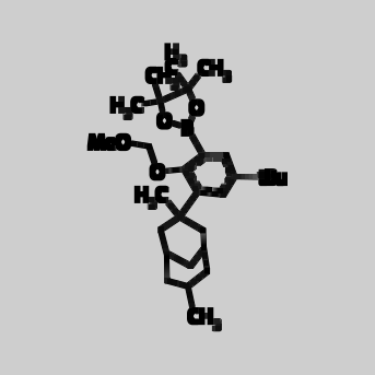 COCOc1c(B2OC(C)(C)C(C)(C)O2)cc(C(C)(C)C)cc1C1(C)CC2CC(C)CC(C2)C1